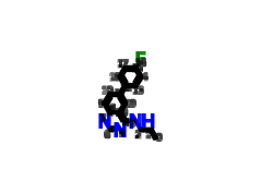 CCCNc1ncnc2ccc(-c3ccc(F)cc3)cc12